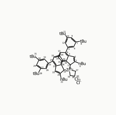 CCCCC1=Cc2c(-c3cc(C(C)(C)C)cc(C(C)(C)C)c3)cccc2[CH]1[Zr+2]1([CH]2C(CCCC)=Cc3c(-c4cc(C(C)(C)C)cc(C(C)(C)C)c4)cccc32)[CH2]C[CH2]1.[Cl-].[Cl-]